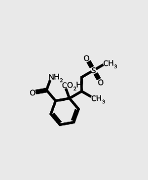 CC(CS(C)(=O)=O)C1(C(=O)O)C=CC=CC1C(N)=O